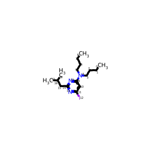 CCCCN(CCCC)c1cc(I)nc(CC(C)C)n1